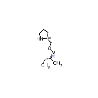 CC/C(C)=N\OC[C@@H]1CCCN1